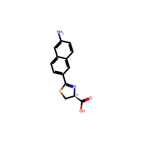 Nc1ccc2cc(C3=N[C@@H](C(=O)O)CS3)ccc2c1